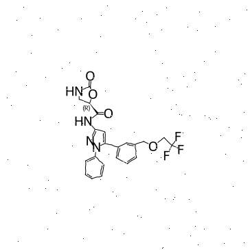 O=C1NC[C@H](C(=O)Nc2cc(-c3cccc(COCC(F)(F)F)c3)n(-c3ccccc3)n2)O1